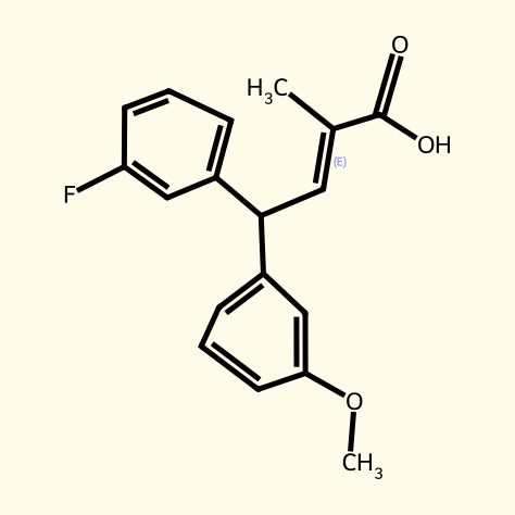 COc1cccc(C(/C=C(\C)C(=O)O)c2cccc(F)c2)c1